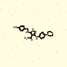 NC(=O)c1c(Nc2ccc(N3CCSCC3)cc2)n[nH]c1NCc1ccc(O)cc1